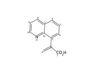 C=C(C(=O)O)c1cccc2cccnc12